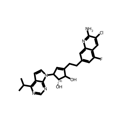 CC(C)c1ncnc2c1ccn2C1C=C(CCc2cc(F)c3cc(Cl)c(N)nc3c2)C(O)[C@@H]1O